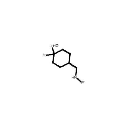 CCC1(C=O)CCC(CNC(C)C)CC1